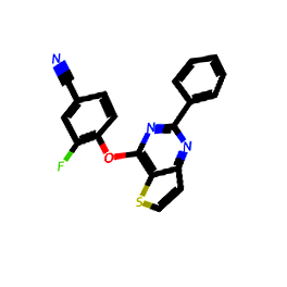 N#Cc1ccc(Oc2nc(-c3ccccc3)nc3ccsc23)c(F)c1